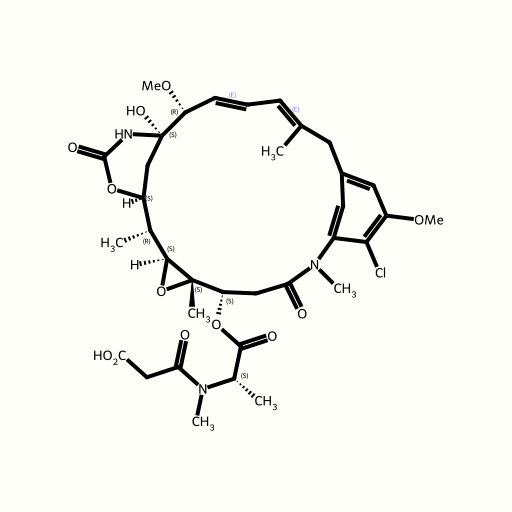 COc1cc2cc(c1Cl)N(C)C(=O)C[C@H](OC(=O)[C@H](C)N(C)C(=O)CC(=O)O)[C@]1(C)O[C@H]1[C@H](C)[C@@H]1C[C@@](O)(NC(=O)O1)[C@H](OC)/C=C/C=C(\C)C2